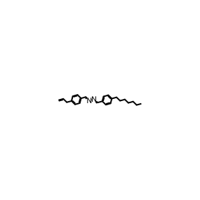 C=CCc1ccc(/C=N/N=C/c2ccc(CCCCCCC)cc2)cc1